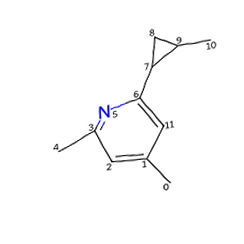 Cc1cc(C)nc(C2CC2C)c1